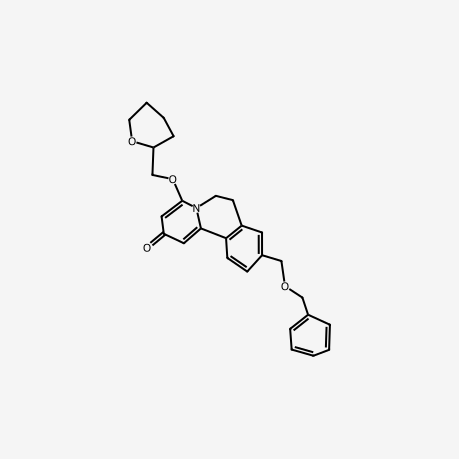 O=c1cc(OCC2CCCCO2)n2c(c1)-c1ccc(COCc3ccccc3)cc1CC2